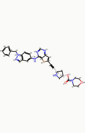 O=C(O[C@@H]1CN[C@H](C#Cc2cc3ncnc(Nc4ccc5c(cnn5Cc5ccccc5)c4)c3s2)C1)N1CCOCC1